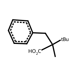 CC(C)(C)C(C)(Cc1ccccc1)C(=O)O